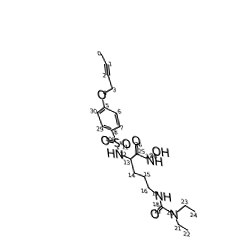 CC#CCOc1ccc(S(=O)(=O)NC(CCCNC(=O)N(CC)CC)C(=O)NO)cc1